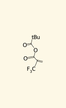 C=C(C(=O)OC(=O)C(C)(C)C)C(F)(F)F